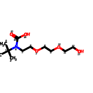 CC(C)(C)N(CCOCCOCCO)C(=O)O